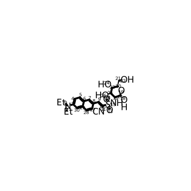 CCN(CC)c1ccc2cc(/C=C(\C#N)S(=O)(=O)N[C@H]3C(O)O[C@H](CO)[C@@H](O)[C@@H]3O)ccc2c1